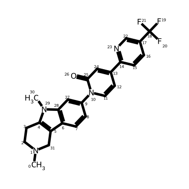 CN1CCc2c(c3ccc(-n4ccc(-c5ccc(C(F)(F)F)cn5)cc4=O)cc3n2C)C1